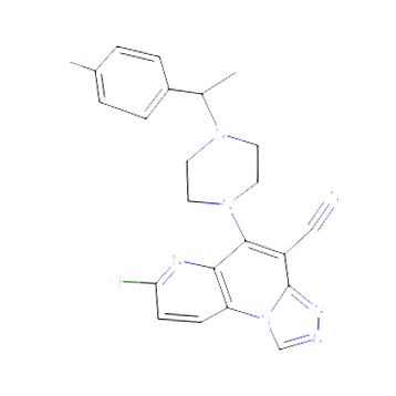 CC(c1ccc(F)cc1)N1CCN(c2c(C#N)c3nncn3c3ccc(Cl)nc23)CC1